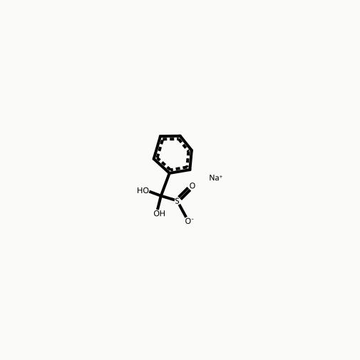 O=S([O-])C(O)(O)c1ccccc1.[Na+]